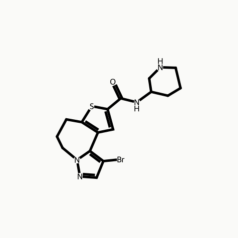 O=C(NC1CCCNC1)c1cc2c(s1)CCCn1ncc(Br)c1-2